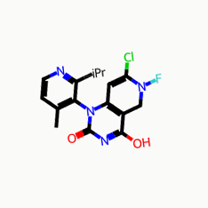 Cc1ccnc(C(C)C)c1-n1c2c(c(O)nc1=O)CN(F)C(Cl)=C2